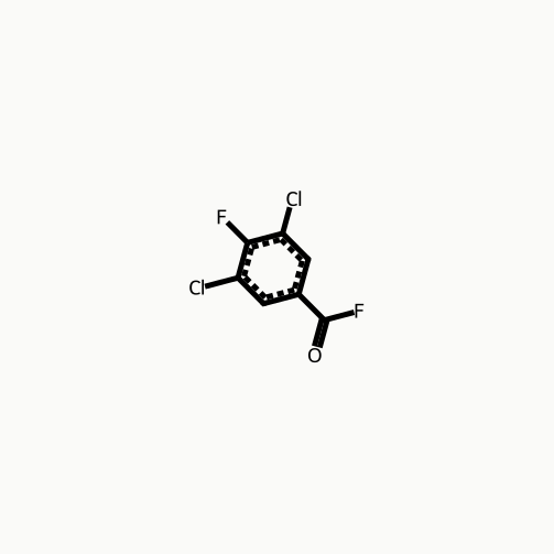 O=C(F)c1cc(Cl)c(F)c(Cl)c1